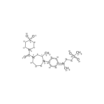 CC1CN(C(=O)N2CCS(=O)(=O)CC2)CCCN1c1ccc(N(C)CCS(C)(=O)=O)cc1